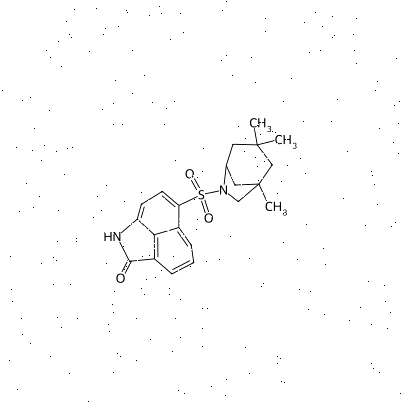 CC1(C)CC2CC(C)(CN2S(=O)(=O)c2ccc3c4c(cccc24)C(=O)N3)C1